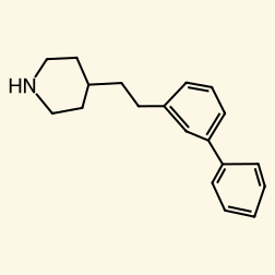 c1ccc(-c2cccc(CCC3CCNCC3)c2)cc1